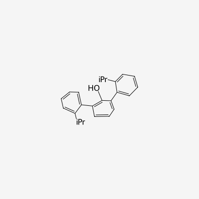 CC(C)c1ccccc1-c1cccc(-c2ccccc2C(C)C)c1O